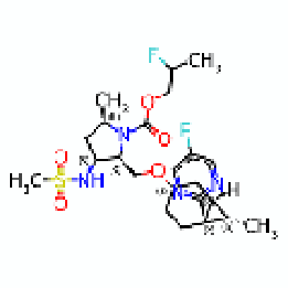 CC(F)COC(=O)N1[C@H](C)C[C@H](NS(C)(=O)=O)[C@@H]1CO[C@H]1CC[C@]2(c3ncc(F)cn3)[C@H](C1)[C@@H]2C